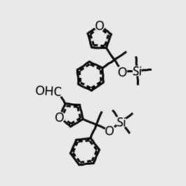 CC(O[Si](C)(C)C)(c1ccccc1)c1ccoc1.CC(O[Si](C)(C)C)(c1ccccc1)c1coc(C=O)c1